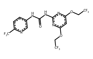 O=C(Nc1ccc(C(F)(F)F)nc1)Nc1nc(OCC(F)(F)F)cc(OCC(F)(F)F)n1